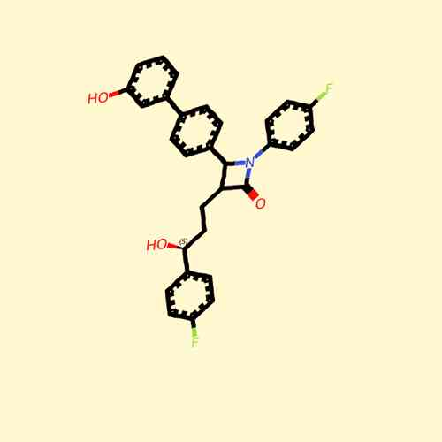 O=C1C(CC[C@H](O)c2ccc(F)cc2)C(c2ccc(-c3cccc(O)c3)cc2)N1c1ccc(F)cc1